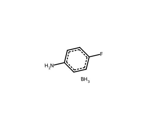 B.Nc1ccc(F)cc1